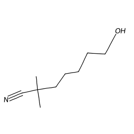 CC(C)(C#N)CCCCCO